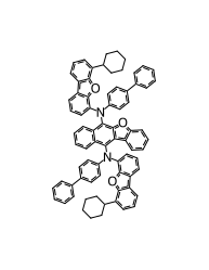 c1ccc(-c2ccc(N(c3cccc4c3oc3c(C5CCCCC5)cccc34)c3c4ccccc4c(N(c4ccc(-c5ccccc5)cc4)c4cccc5c4oc4c(C6CCCCC6)cccc45)c4c3oc3ccccc34)cc2)cc1